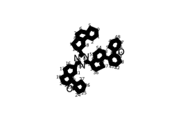 c1ccc2c(c1)ccc1ccc(-c3nc(-c4ccc5ccc6oc7ccccc7c6c5c4)nc(-c4cccc5c(-c6cccc7oc8ccccc8c67)cccc45)n3)cc12